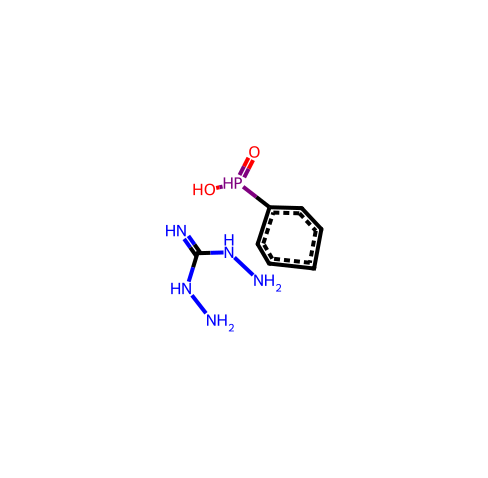 N=C(NN)NN.O=[PH](O)c1ccccc1